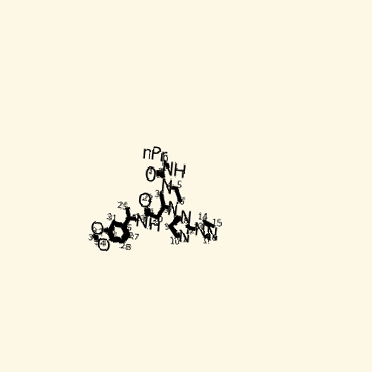 CCCNC(=O)N1CCN(c2ccnc(-n3ccnc3)n2)C(CC(=O)NC(C)c2ccc3c(c2)OCO3)C1